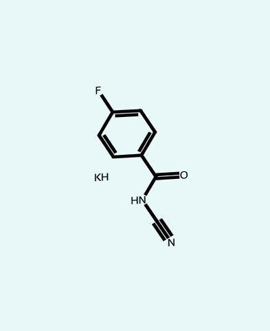 N#CNC(=O)c1ccc(F)cc1.[KH]